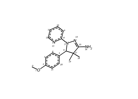 COc1ccc(C2N(c3ccccn3)N=C(N)C2(C)C)cc1